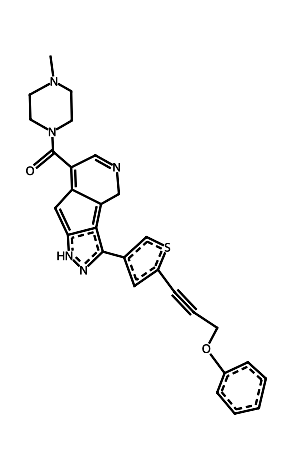 CN1CCN(C(=O)C2=C3C=c4[nH]nc(-c5csc(C#CCOc6ccccc6)c5)c4=C3CN=C2)CC1